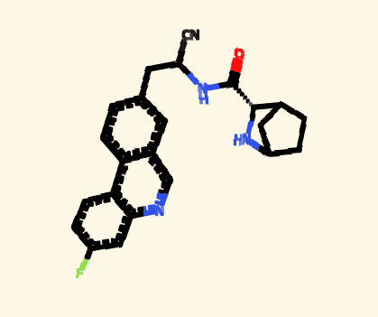 N#CC(Cc1ccc2c(cnc3cc(F)ccc32)c1)NC(=O)[C@H]1NC2CCC1C2